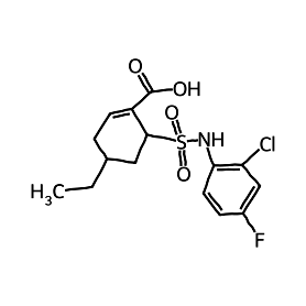 CCC1CC=C(C(=O)O)C(S(=O)(=O)Nc2ccc(F)cc2Cl)C1